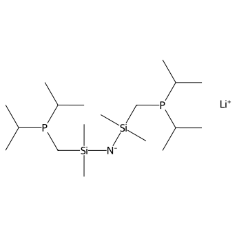 CC(C)P(C[Si](C)(C)[N-][Si](C)(C)CP(C(C)C)C(C)C)C(C)C.[Li+]